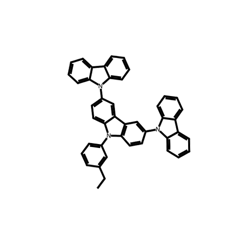 CCc1cccc(-n2c3ccc(-n4c5ccccc5c5ccccc54)cc3c3cc(-n4c5ccccc5c5ccccc54)ccc32)c1